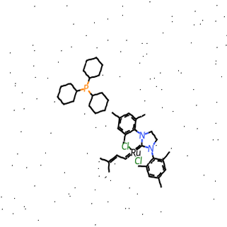 C1CCC(P(C2CCCCC2)C2CCCCC2)CC1.CC(C)=C[CH]=[Ru]([Cl])([Cl])=[C]1N(c2c(C)cc(C)cc2C)CCN1c1c(C)cc(C)cc1C